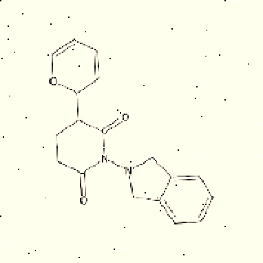 O=C1CCC(C2C=CC=CO2)C(=O)N1N1Cc2ccccc2C1